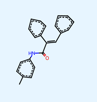 Cc1ccc(NC(=O)/C(=C/c2ccccc2)c2ccccc2)cc1